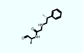 C[C@@H](C=O)NC(=O)CNC[C@H](C)c1ccccc1